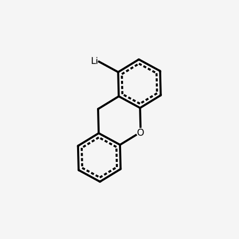 [Li][c]1cccc2c1Cc1ccccc1O2